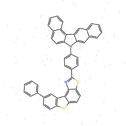 c1ccc(-c2ccc3sc4ccc5sc(-c6ccc(-n7c8cc9ccccc9cc8c8c9ccccc9ccc87)cc6)nc5c4c3c2)cc1